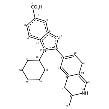 CC1CC2=CC(c3nc4cc(C(=O)O)ccc4n3C3CCCCC3)=CCC2=CN1